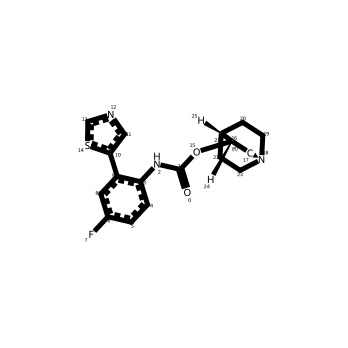 O=C(Nc1ccc(F)cc1-c1cncs1)O[C@H]1C[N@]2CC[C@H]1CC2